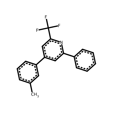 Cc1cccc(-c2cc(-c3ccccc3)nc(C(F)(F)F)c2)c1